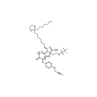 CC#CCOc1ccc(C[C@H](NC(=O)[C@@H](/C=C/CCCCCCC2(CCCCCCC)OCCO2)[C@@](O)(CCO[Si](C)(C)C(C)(C)C)C(=O)O)C(=O)NC)cc1